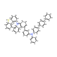 C1=C(c2cccc(N(c3ccccc3)c3ccc(-c4ccc(-c5ccccc5)cc4)cc3)c2)c2c(n(-c3cccc4sc5ccccc5c34)c3ccccc23)CC1